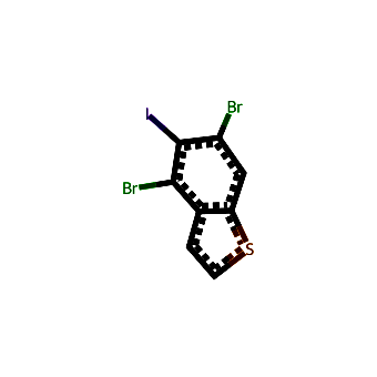 Brc1cc2sccc2c(Br)c1I